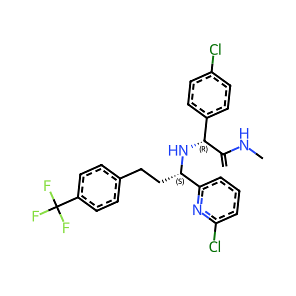 C=C(NC)[C@H](N[C@@H](CCc1ccc(C(F)(F)F)cc1)c1cccc(Cl)n1)c1ccc(Cl)cc1